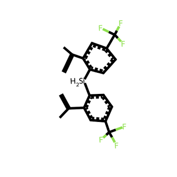 C=C(C)c1cc(C(F)(F)F)ccc1[SiH2]c1ccc(C(F)(F)F)cc1C(=C)C